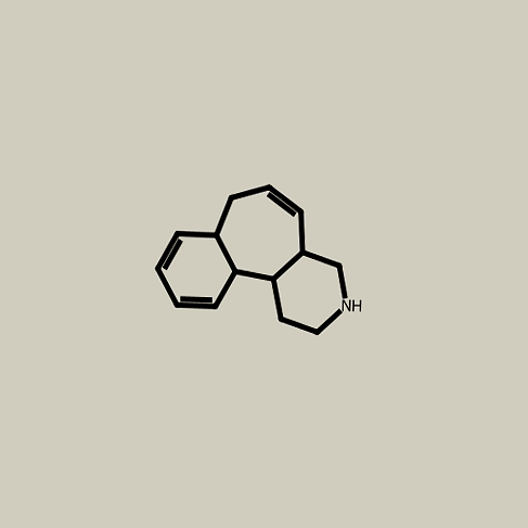 C1=CC2CC=CC3CNCCC3C2C=C1